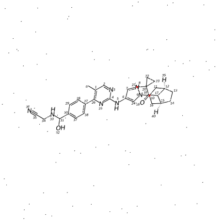 Cc1cnc(Nc2cnn(C3C[C@H]4CC[C@@H](C3)C4C(=O)C3(C)CC3)c2)nc1-c1ccc(C(O)NCC#N)cc1